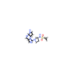 O=S(=O)(N[C@H]1CCN(c2ncc3cnc4[nH]ccc4n23)C1)C1CC1